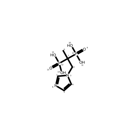 CC(Cn1ccnc1)(P(=O)(O)O)P(=O)(O)O